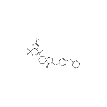 Cc1cc(S(=O)(=O)N2CCCC3(CCN(Cc4ccc(Oc5ccccc5)cc4)C3=O)C2)c(C(F)(F)F)o1